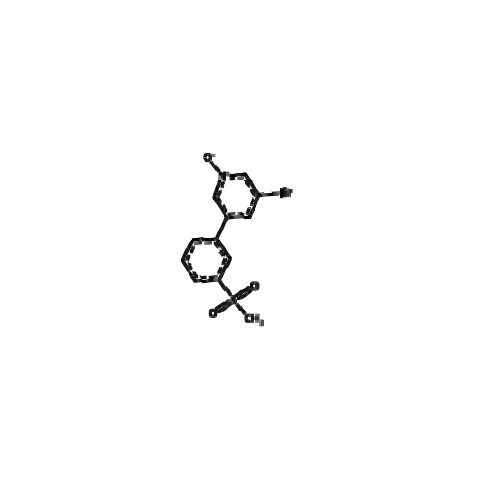 CS(=O)(=O)c1cccc(-c2cc(Br)c[n+]([O-])c2)c1